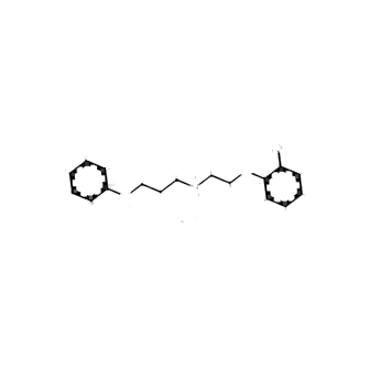 Brc1ccccc1OCCNCCCOc1ccccc1.Cl